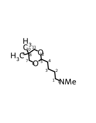 CNCCCCC1OCC(C)(C)CO1